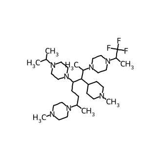 CC(C)N1CCN(C(CCC(C)N2CCN(C)CC2)C(C2CCN(C)CC2)C(C)N2CCN(C(C)C(F)(F)F)CC2)CC1